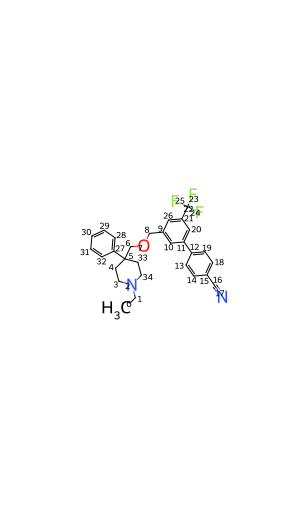 CCN1CCC(COCc2cc(-c3ccc(C#N)cc3)cc(C(F)(F)F)c2)(c2ccccc2)CC1